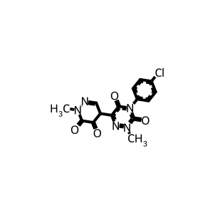 CN1N=CC(c2nn(C)c(=O)n(-c3ccc(Cl)cc3)c2=O)C(=O)C1=O